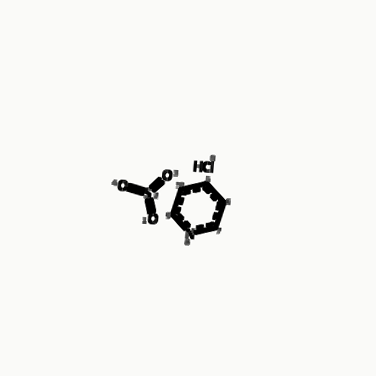 Cl.O=S(=O)=O.c1ccncc1